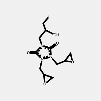 O=c1n(CC(O)CI)c(=O)n(CC2CO2)n1CC1CO1